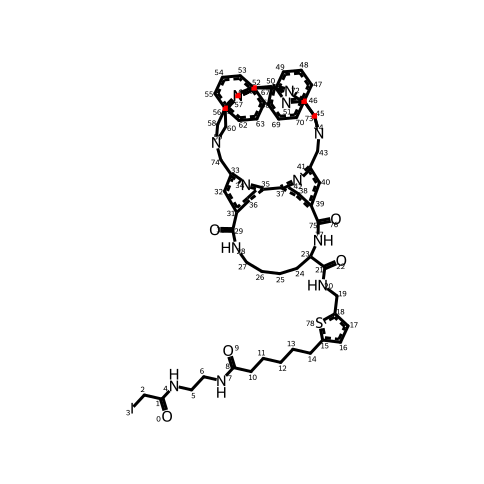 O=C(CI)NCCNC(=O)CCCCCc1ccc(CNC(=O)C2CCCCNC(=O)c3cc4nc(c3)-c3cc(cc(n3)CN3Cc5cccc(n5)-c5cccc(n5)CN(Cc5cccc(n5)-c5cccc(n5)C3)C4)C(=O)N2)s1